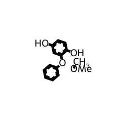 COC.Oc1ccc(O)c(Oc2ccccc2)c1